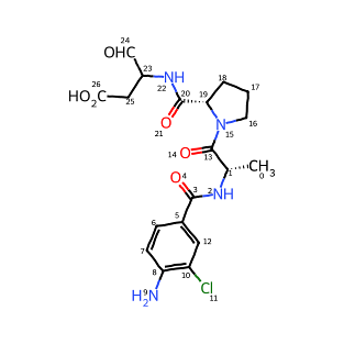 C[C@H](NC(=O)c1ccc(N)c(Cl)c1)C(=O)N1CCC[C@H]1C(=O)NC(C=O)CC(=O)O